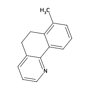 Cc1cccc2c1CCc1cccnc1-2